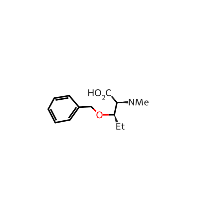 CC[C@@H](OCc1ccccc1)[C@H](NC)C(=O)O